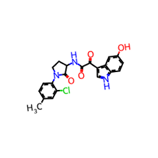 Cc1ccc(N2CCC(NC(=O)C(=O)c3c[nH]c4ccc(O)cc34)C2=O)c(Cl)c1